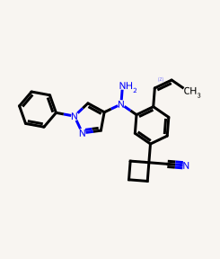 C/C=C\c1ccc(C2(C#N)CCC2)cc1N(N)c1cnn(-c2ccccc2)c1